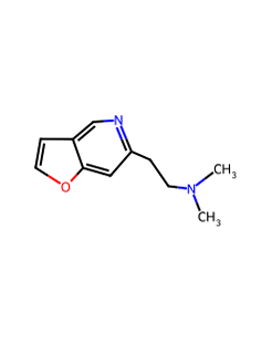 CN(C)CCc1cc2occc2cn1